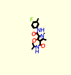 Cc1cc(NC(=O)c2c3c(c(C)n2C)C(=O)NC(C)CO3)ccc1F